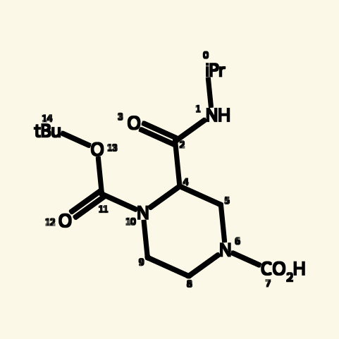 CC(C)NC(=O)C1CN(C(=O)O)CCN1C(=O)OC(C)(C)C